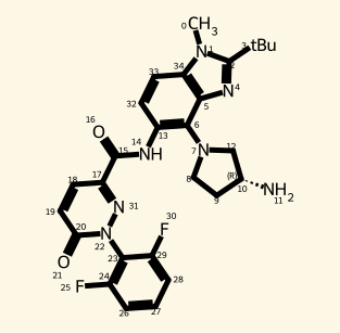 Cn1c(C(C)(C)C)nc2c(N3CC[C@@H](N)C3)c(NC(=O)c3ccc(=O)n(-c4c(F)cccc4F)n3)ccc21